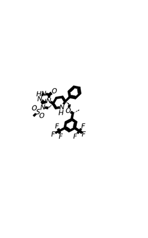 C[C@@H](OC[C@@]1(c2ccccc2)CC[C@](CNS(C)(=O)=O)(n2cn[nH]c2=O)CN1)c1cc(C(F)(F)F)cc(C(F)(F)F)c1